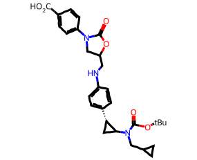 CC(C)(C)OC(=O)N(CC1CC1)C1C[C@@H]1c1ccc(NCC2CN(c3ccc(C(=O)O)cc3)C(=O)O2)cc1